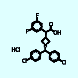 Cl.O=C(O)C(c1cc(F)cc(F)c1)C1CN(C(c2ccc(Cl)cc2)c2ccc(Cl)cc2)C1